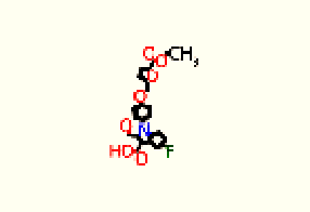 CCOC(=O)c1ccc(COc2ccc(-n3c(C=O)c(C(=O)O)c4cc(F)ccc43)cc2)o1